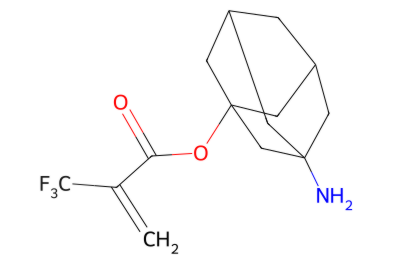 C=C(C(=O)OC12CC3CC(CC(N)(C3)C1)C2)C(F)(F)F